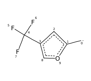 [CH2]c1cc(C(F)(F)F)co1